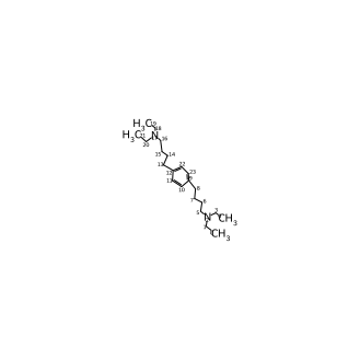 CCN(CC)CCCCc1ccc(CCCCN(CC)CC)cc1